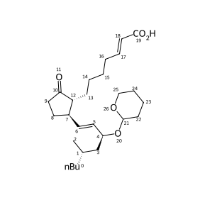 CCCC[C@H](C)C[C@@H](/C=C/[C@H]1CCC(=O)[C@@H]1CCCC/C=C/C(=O)O)OC1CCCCO1